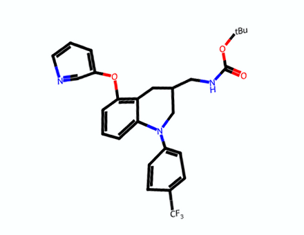 CC(C)(C)OC(=O)NCC1Cc2c(Oc3cccnc3)cccc2N(c2ccc(C(F)(F)F)cc2)C1